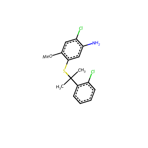 COc1cc(Cl)c(N)cc1SC(C)(C)c1ccccc1Cl